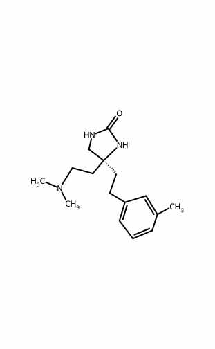 Cc1cccc(CC[C@]2(CCN(C)C)CNC(=O)N2)c1